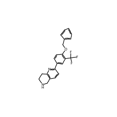 FC(F)(F)c1cc(-c2ccc3c(n2)CCNC3)ccc1OCc1ccccc1